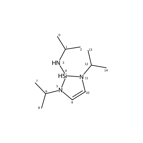 CC(C)N[SiH]1N(C(C)C)C=CN1C(C)C